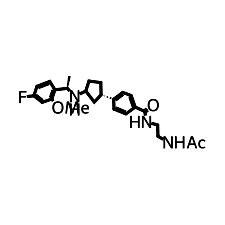 COc1cc(F)ccc1[C@@H](C)NC1CC[C@H](c2ccc(C(=O)NCCNC(C)=O)cc2)C1